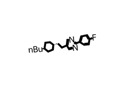 CCCC[C@H]1CC[C@H](CCc2cnc(-c3ccc(F)cc3)nc2)CC1